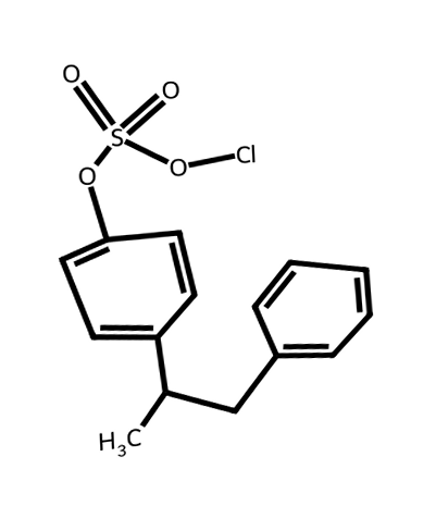 CC(Cc1ccccc1)c1ccc(OS(=O)(=O)OCl)cc1